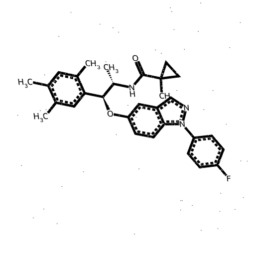 Cc1cc(C)c([C@H](Oc2ccc3c(cnn3-c3ccc(F)cc3)c2)[C@H](C)NC(=O)C2(C)CC2)cc1C